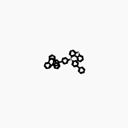 c1ccc(-c2ccc(N(c3ccc(-c4ccc5c(c4)-c4c6cccc4-c4cccc-5c4-c4ccccc4-6)cc3)c3cccc4sc5ccccc5c34)cc2)cc1